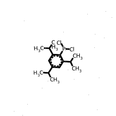 CC(C)c1cc(C(C)C)c(P(Cl)Cl)c(C(C)C)c1